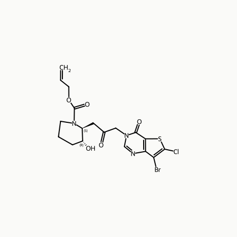 C=CCOC(=O)N1CCC[C@@H](O)[C@@H]1CC(=O)Cn1cnc2c(Br)c(Cl)sc2c1=O